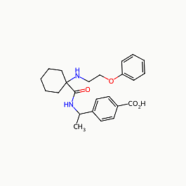 CC(NC(=O)C1(NCCOc2ccccc2)CCCCC1)c1ccc(C(=O)O)cc1